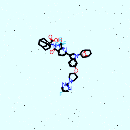 O=C(NC1(C(=O)O)C2CC3CC(C2)CC1C3)c1ccc(-c2cn(C3CC4CCC(C3)O4)c3cc(OC4CCN(c5ncc(F)cn5)CC4)ccc23)nc1C(F)(F)F